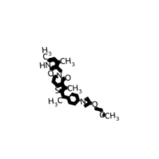 COCCOC1CN([C@H]2CC[C@H]([C@@H](C)c3sc4c(c3C)C(=O)N(Cc3c(C)cc(C)[nH]c3=O)CC4)CC2)C1